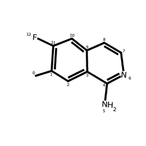 Cc1cc2c(N)nccc2cc1F